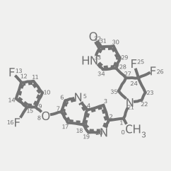 CC(c1cc2ncc(Oc3ccc(F)cc3F)cc2cn1)N1CCC(F)(F)C(c2ccc(=O)[nH]c2)C1